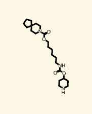 O=C(NCCCCCCOC(=O)N1CCC2(CCCC2)CC1)OC1CCNCC1